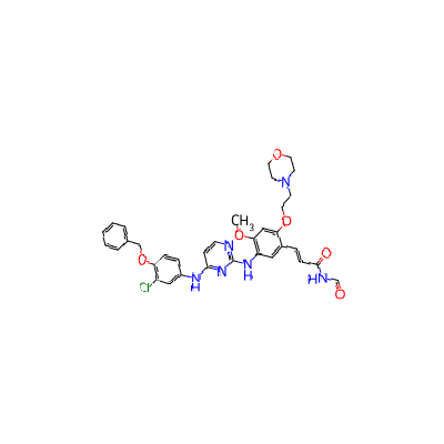 COc1cc(OCCN2CCOCC2)c(C=CC(=O)NC=O)cc1Nc1nccc(Nc2ccc(OCc3ccccc3)c(Cl)c2)n1